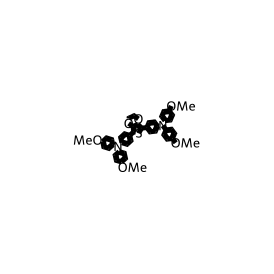 COc1ccc(N(c2ccc(OC)cc2)c2ccc(-c3sc(-c4ccc(N(c5ccc(OC)cc5)c5ccc(OC)cc5)cc4)c4c3OCCO4)cc2)cc1